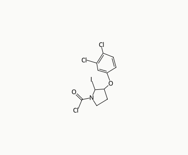 O=C(Cl)N1CCC(Oc2ccc(Cl)c(Cl)c2)C1I